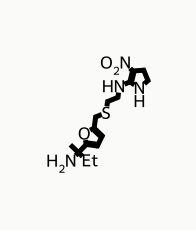 CCC(C)(N)c1ccc(CSCCNC2=C([N+](=O)[O-])CCN2)o1